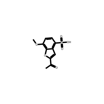 COc1ccc(S(=O)(=O)O)c2cc(C(C)=O)oc12